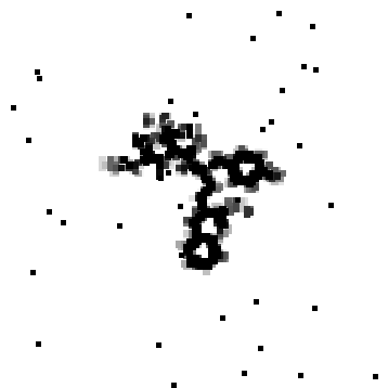 COC(=O)N[C@H](C(=O)NN(CCC(Cc1ccccc1)C(N)=O)Cc1ccc(Br)cc1)C(C)(C)C